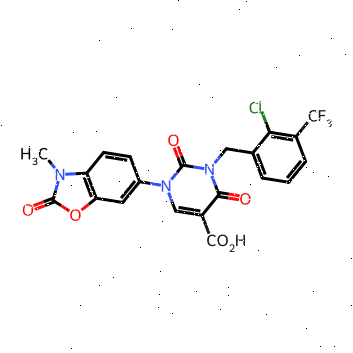 Cn1c(=O)oc2cc(-n3cc(C(=O)O)c(=O)n(Cc4cccc(C(F)(F)F)c4Cl)c3=O)ccc21